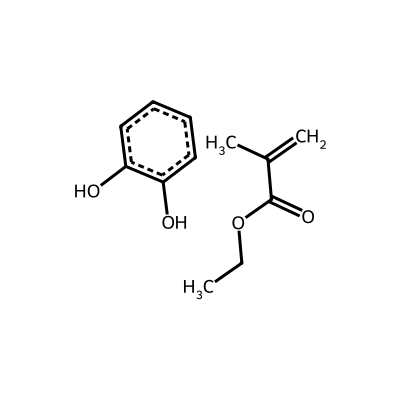 C=C(C)C(=O)OCC.Oc1ccccc1O